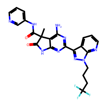 CC1(C(=O)Nc2cccnc2)C(=O)Nc2nc(-c3nn(CCCC(F)(F)F)c4ncccc34)nc(N)c21